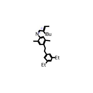 C/C=C(/C=N\c1cc(C)c(CCc2cc(CC)cc(CC)c2)cc1C)C(C)CC